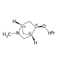 CCCO[C@@H]1C[C@@H]2C[C@H]1CN2C